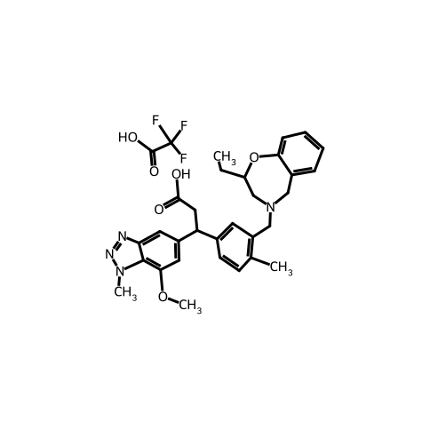 CCC1CN(Cc2cc(C(CC(=O)O)c3cc(OC)c4c(c3)nnn4C)ccc2C)Cc2ccccc2O1.O=C(O)C(F)(F)F